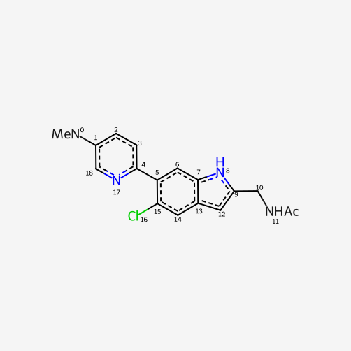 CNc1ccc(-c2cc3[nH]c(CNC(C)=O)cc3cc2Cl)nc1